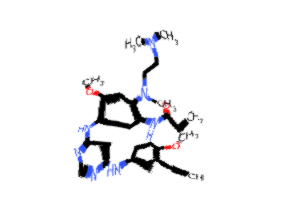 C#Cc1cc(Nc2cc(Nc3cc(NC(=O)C=C)c(N(C)CCN(C)C)cc3OC)ncn2)ccc1OC